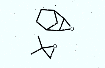 C1CC2CC1C1OC21.CC1(C)CO1